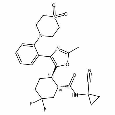 Cc1nc(-c2ccccc2N2CCS(=O)(=O)CC2)c([C@@H]2CCC(F)(F)C[C@H]2C(=O)NC2(C#N)CC2)o1